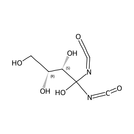 O=C=NC(O)(N=C=O)[C@@H](O)[C@H](O)CO